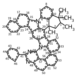 CC1CC2(C)c3c(cccc3C1(C)C)-n1c3ccc4ccccc4c3c3cc4c(c2c31)c1ccccc1n4-c1nc(-c2ccccc2)nc2ccc3ccccc3c12